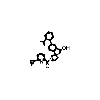 CC(C)c1ccccc1-c1ccc2c(c1)[C@H](O)C[C@]21CCN(C(=O)c2cccc(C3CC3)n2)C1